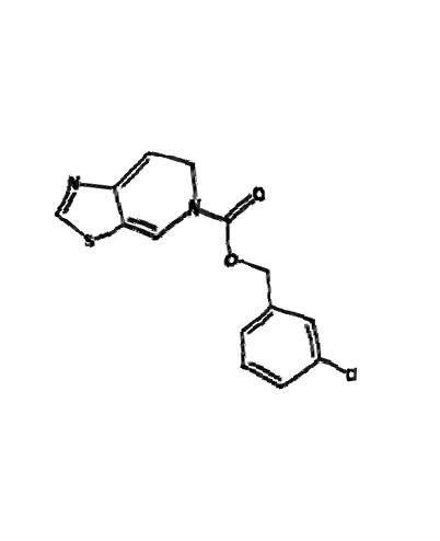 O=C(OCc1cccc(Cl)c1)N1C=c2scnc2=CC1